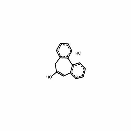 Cl.OC1=Cc2ccccc2-c2ccccc2C1